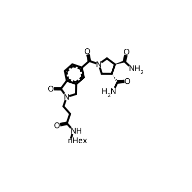 CCCCCCNC(=O)CCN1Cc2cc(C(=O)N3C[C@@H](C(N)=O)[C@H](C(N)=O)C3)ccc2C1=O